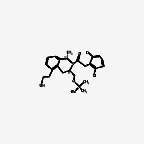 C[C@H]1c2cccc(CCO)c2C[C@H](CO[Si](C)(C)C(C)(C)C)N1C(=O)Cc1c(Cl)cccc1Cl